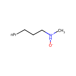 [CH2]CCCCC[NH+](C)[O-]